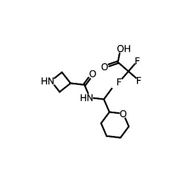 CC(NC(=O)C1CNC1)C1CCCCO1.O=C(O)C(F)(F)F